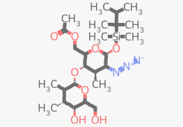 CC(=O)OCC1O[C@@H](O[Si](C)(C)C(C)(C)C(C)C)C(N=[N+]=[N-])[C@@H](C)[C@@H]1O[C@@H]1OC(CO)[C@@H](O)[C@H](C)C1C